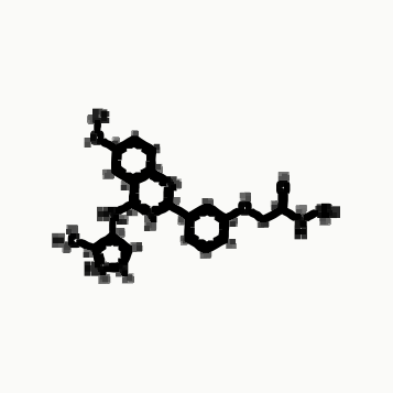 CCOc1ccc2nc(-c3cccc(OCC(=O)NC(C)(C)C)c3)nc(Nc3cn[nH]c3C)c2c1